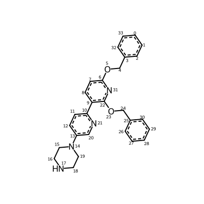 c1ccc(COc2ccc(-c3ccc(N4CCNCC4)cn3)c(OCc3ccccc3)n2)cc1